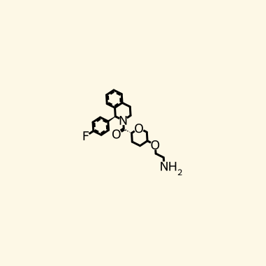 NCCOC1CC[C@H](C(=O)N2CCc3ccccc3[C@@H]2c2ccc(F)cc2)OC1